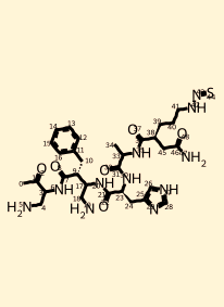 CC(=O)C(CN)NC(=O)[C@H](Cc1ccccc1)C(CN)NC(=O)[C@H](Cc1c[nH]cn1)NC(=O)C(C)NC(=O)[C@@H](CCCNN=S)CC(N)=O